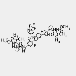 COC(=O)NC(C(=O)N1CCC[C@H]1c1ncc(-c2ccc3c(c2)cc2n3C(c3cnc(C(F)(F)F)s3)Oc3cc(-c4cnc([C@@H]5CCCN5C(=O)[C@@H](NC(=O)OC)C(C)C)[nH]4)cc(F)c3-2)[nH]1)C(C)C